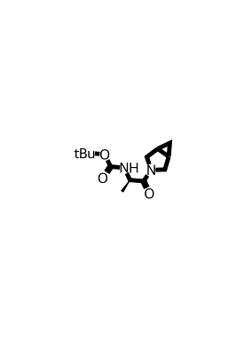 C[C@@H](NC(=O)OC(C)(C)C)C(=O)N1CC2CC2C1